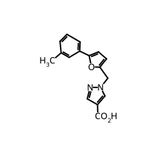 Cc1cccc(-c2ccc(Cn3cc(C(=O)O)cn3)o2)c1